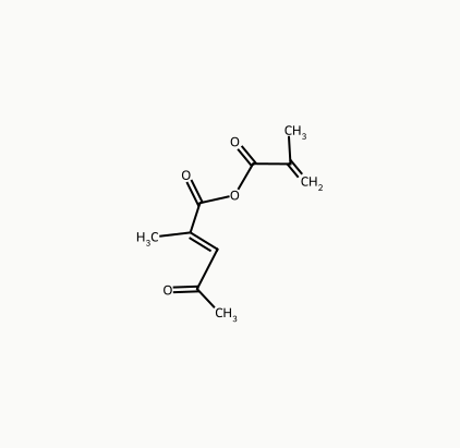 C=C(C)C(=O)OC(=O)C(C)=CC(C)=O